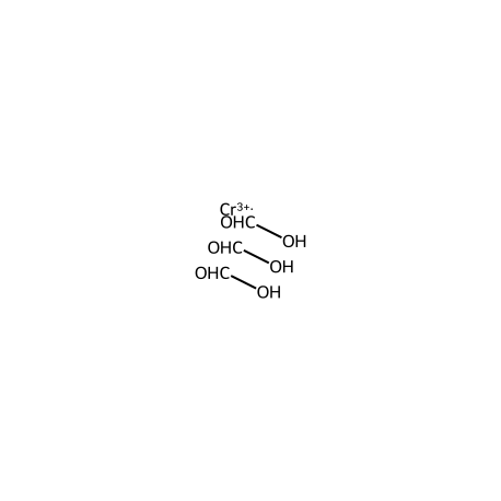 O=[C-]O.O=[C-]O.O=[C-]O.[Cr+3]